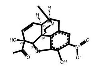 CC(=O)[C@]1(O)C=C[C@H]2[C@H]3Cc4cc([N+](=O)[O-])c(O)c5c4[C@@]2(CCN3C)[C@H]1O5